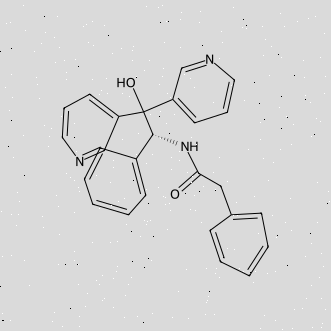 O=C(Cc1ccccc1)N[C@H](c1ccccc1)C(O)(c1cccnc1)c1cccnc1